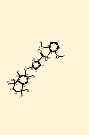 COc1cccc(OC)c1NC(=O)c1ccc(Oc2c(C)cc3c(c2C)C(C)(C)CCC3(C)C)o1